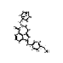 O=C1c2cccc3c2c(cn3Cc2ccc(CO)cc2)CCN1CC12CCN(CC1)CC2